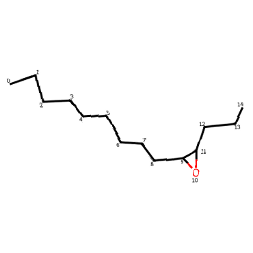 CCCCCCCCCC1OC1CCC